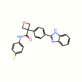 O=C(Nc1ccc(F)cc1)C1(c2ccc(-c3nc4ccccc4[nH]3)cc2)COC1